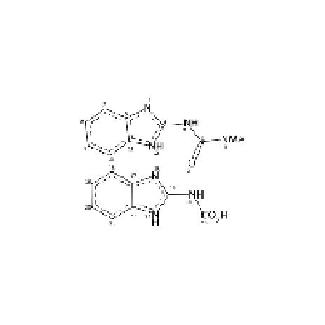 CNC(=O)Nc1nc2ccccc2[nH]1.O=C(O)Nc1nc2ccccc2[nH]1